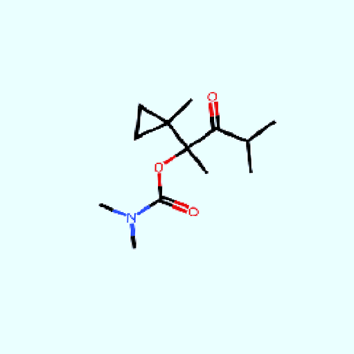 CC(C)C(=O)C(C)(OC(=O)N(C)C)C1(C)CC1